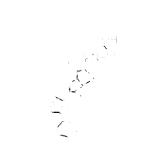 O=C(O)CNC(=O)c1ncc2nc(C3=COC=C(C4=CC=CCC4)O3)sc2c1O